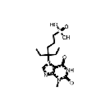 CCC(CC)(CCCP(=O)(O)O)n1cnc2c1c(=O)[nH]c(=O)n2C